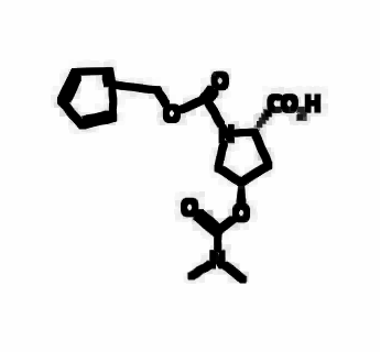 CN(C)C(=O)O[C@@H]1C[C@@H](C(=O)O)N(C(=O)OCc2ccccc2)C1